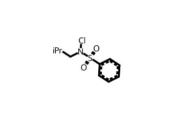 CC(C)CN(Cl)S(=O)(=O)c1ccccc1